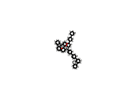 c1ccc(-c2ccc(-c3ccc(N(c4ccc(-c5ccc(-c6cccc7c6oc6ccccc67)cc5)cc4)c4ccccc4-c4ccccc4-n4c5ccccc5c5ccccc54)cc3)cc2)cc1